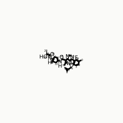 Cc1ccc(OCC2CC2)c(-c2ncnc3c(C(=O)N[C@@H]4CC[C@H](NC(=O)[C@H](C)O)[C@H](C)C4)c(C)[nH]c23)c1F